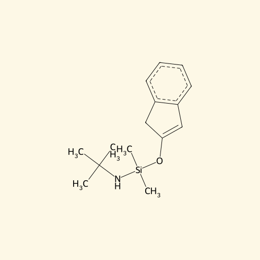 CC(C)(C)N[Si](C)(C)OC1=Cc2ccccc2C1